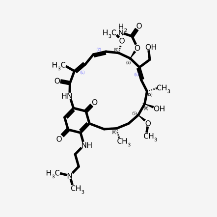 CO[C@H]1/C=C\C=C(/C)C(=O)NC2=CC(=O)C(NCCN(C)C)=C(C[C@@H](C)C[C@H](OC)[C@H](O)[C@@H](C)/C=C(\CO)[C@@H]1OC(N)=O)C2=O